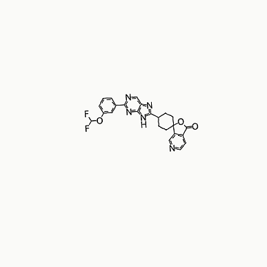 O=C1OC2(CCC(c3nc4cnc(-c5cccc(OC(F)F)c5)nc4[nH]3)CC2)c2cnccc21